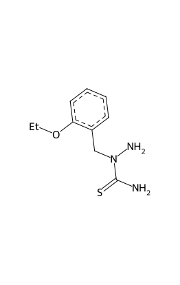 CCOc1ccccc1CN(N)C(N)=S